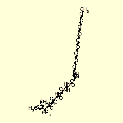 CCOCCOCCOCCOCCOCCOCCOCCOCCOCCn1cc(COC(=O)NCCNC(=O)CNC(=O)CNC(=O)CNC(=O)CON(C)C(CSC)CSC)nn1